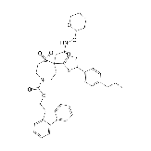 CCCc1ccc(-c2ccc(C3(CC(=O)NOC4CCCCO4)CCN(C(=O)OCC4c5ccccc5-c5ccccc54)CCS3(=O)=O)s2)cc1